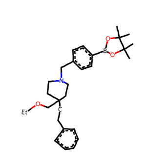 CCOCC1(CCc2ccccc2)CCN(Cc2ccc(B3OC(C)(C)C(C)(C)O3)cc2)CC1